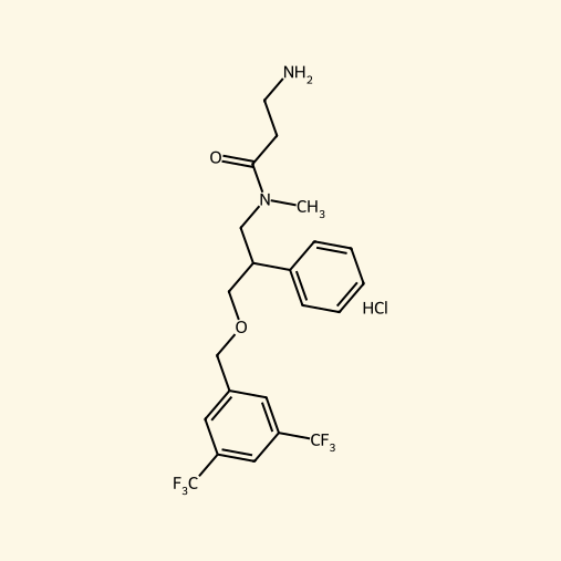 CN(CC(COCc1cc(C(F)(F)F)cc(C(F)(F)F)c1)c1ccccc1)C(=O)CCN.Cl